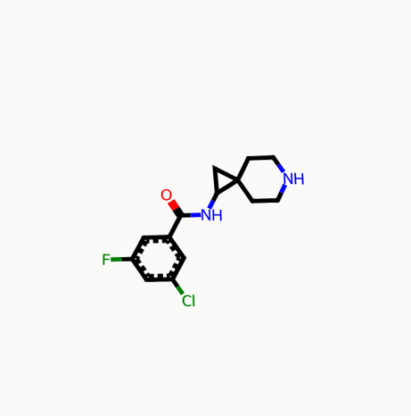 O=C(NC1CC12CCNCC2)c1cc(F)cc(Cl)c1